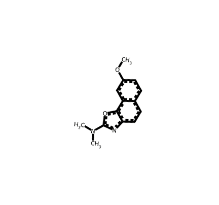 COc1ccc2ccc3nc(N(C)C)oc3c2c1